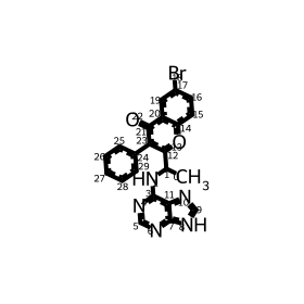 CC(Nc1ncnc2[nH]cnc12)c1oc2ccc(Br)cc2c(=O)c1-c1ccccc1